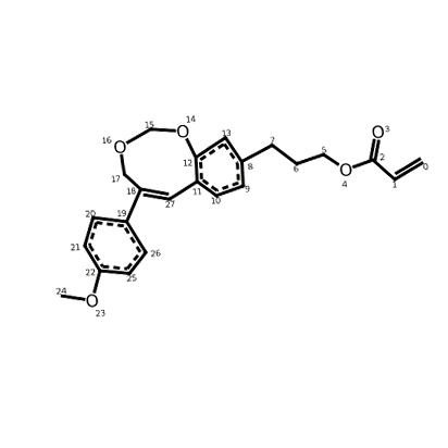 C=CC(=O)OCCCc1ccc2c(c1)OCOC/C(c1ccc(OC)cc1)=C\2